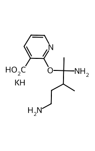 CC(CCN)C(C)(N)Oc1ncccc1C(=O)O.[KH]